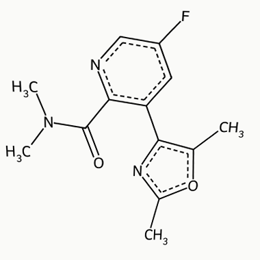 Cc1nc(-c2cc(F)cnc2C(=O)N(C)C)c(C)o1